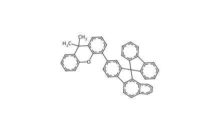 CC1(C)c2ccccc2Oc2c(-c3ccc4c(c3)C3(c5ccccc5-c5ccccc53)c3c-4ccc4ccccc34)cccc21